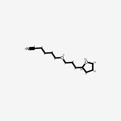 N#CCCCCOCCCC1CCCO1